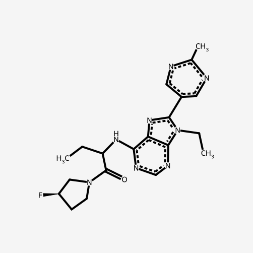 CCC(Nc1ncnc2c1nc(-c1cnc(C)nc1)n2CC)C(=O)N1CC[C@@H](F)C1